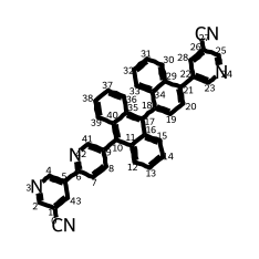 N#Cc1cncc(-c2ccc(-c3c4ccccc4c(-c4ccc(-c5cncc(C#N)c5)c5ccccc45)c4ccccc34)cn2)c1